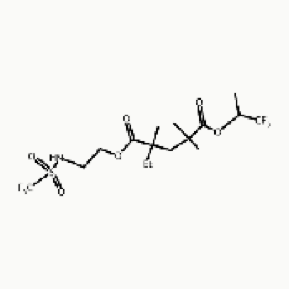 CCC(C)(CC(C)(C)C(=O)OC(C)C(F)(F)F)C(=O)OCCNS(=O)(=O)C(F)(F)F